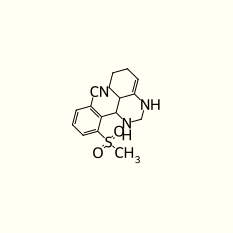 CS(=O)(=O)c1cccc(C#N)c1C1NCNC2=CCCCC21